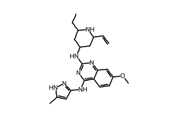 C=CC1CC(Nc2nc(Nc3cc(C)[nH]n3)c3ccc(OC)cc3n2)CC(CC)N1